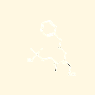 C[C@@H](CO[Si](C)(C)C(C)(C)C)[C@H](CC=O)COCc1ccccc1